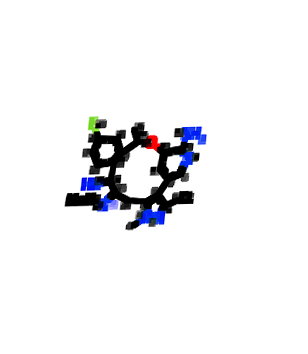 CCc1nn(C)c2c1-c1cnc(N)c(c1)OC(C)c1cc(F)ccc1C(=N)/C(=N\NC)C2